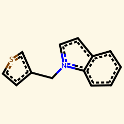 c1ccc2c(c1)ccn2Cc1ccsc1